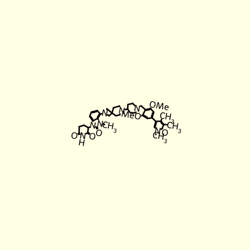 COc1cc(-c2cn(C)c(=O)c(C)c2C)cc(OC)c1CN1CCC(N2CCC3(CC2)CN(c2cccc4c2n(C)c(=O)n4C2CCC(=O)NC2=O)C3)CC1